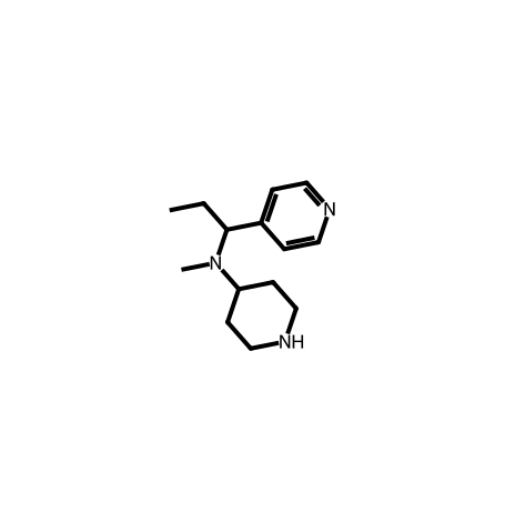 CCC(c1ccncc1)N(C)C1CCNCC1